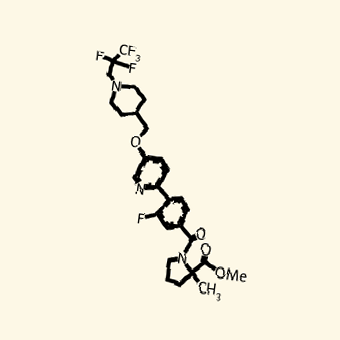 COC(=O)C1(C)CCCN1C(=O)c1ccc(-c2ccc(OCC3CCN(CC(F)(F)C(F)(F)F)CC3)cn2)c(F)c1